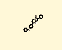 C1=C(c2ccccc2)NN2CCC(c3ccc(Oc4ccccc4)cc3)NC12